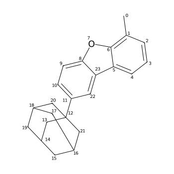 Cc1cccc2c1oc1ccc(C34CC5CC(CC(C5)C3)C4)cc12